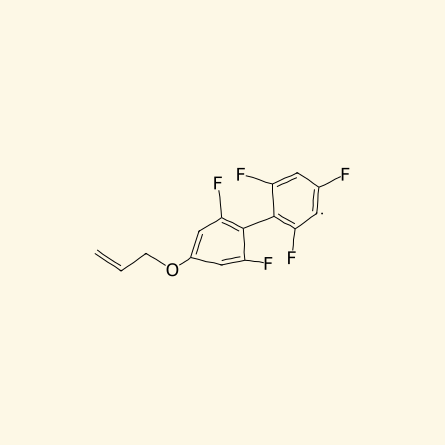 C=CCOc1cc(F)c(-c2c(F)[c]c(F)cc2F)c(F)c1